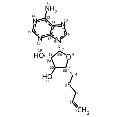 C=CCSC[C@H]1O[C@@H](n2cnc3c(N)ncnc32)[C@@H](O)C1O